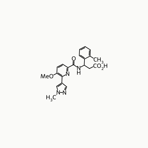 COc1ccc(C(=O)NC(CC(=O)O)c2ccccc2C)nc1-c1cnn(C)c1